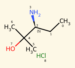 CC[C@H](N)C(C)(C)O.Cl